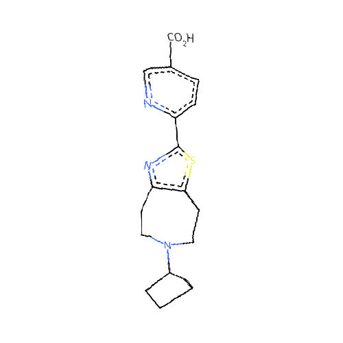 O=C(O)c1ccc(-c2nc3c(s2)CCN(C2CCC2)CC3)nc1